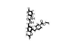 CCOC(=O)N1CCN(Cc2cc(CNC(=O)Nc3ccc(C)nc3)ccc2OC(F)F)CC1